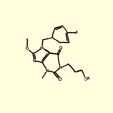 COc1nc2c(c(=O)n(CCCO)c(=O)n2C)n1CC1C=CC(F)=CC1